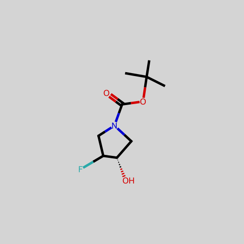 CC(C)(C)OC(=O)N1CC(F)[C@@H](O)C1